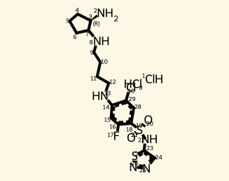 Cl.Cl.N[C@@H]1CCCC1NCCCCNc1cc(F)c(S(=O)(=O)Nc2cnns2)cc1Cl